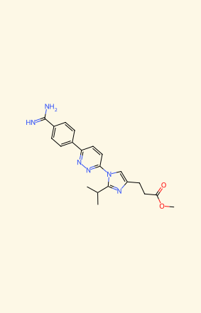 COC(=O)CCc1cn(-c2ccc(-c3ccc(C(=N)N)cc3)nn2)c(C(C)C)n1